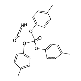 Cc1ccc(OP(=O)(Oc2ccc(C)cc2)Oc2ccc(C)cc2)cc1.N=C=O